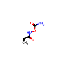 C=CC(=O)NOC(N)=O